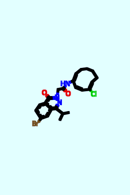 CC(C)c1nn(CC(=O)NC2=C/CCCC/C=C(Cl)/C=C\2)c(=O)c2ccc(Br)cc12